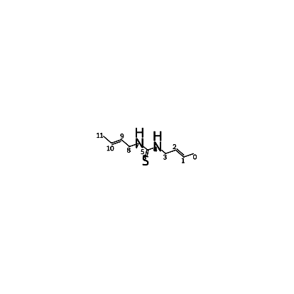 CC=CCNC(=S)NCC=CC